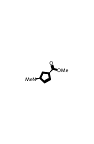 CN[C@@H]1C=C[C@H](C(=O)OC)C1